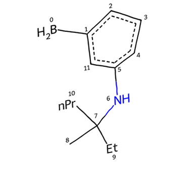 Bc1cccc(NC(C)(CC)CCC)c1